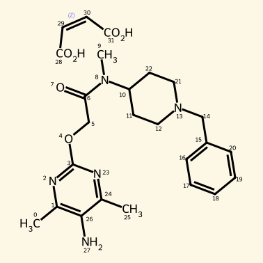 Cc1nc(OCC(=O)N(C)C2CCN(Cc3ccccc3)CC2)nc(C)c1N.O=C(O)/C=C\C(=O)O